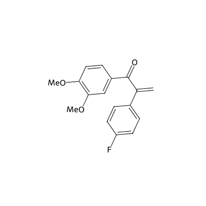 C=C(C(=O)c1ccc(OC)c(OC)c1)c1ccc(F)cc1